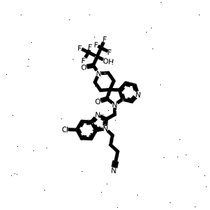 N#CCCCn1c(CN2C(=O)C3(CCN(C(=O)C(O)(C(F)(F)F)C(F)(F)F)CC3)c3ccncc32)nc2cc(Cl)ccc21